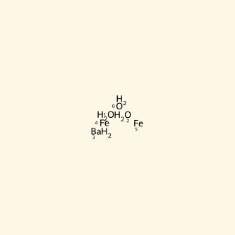 O.O.O.[BaH2].[Fe].[Fe]